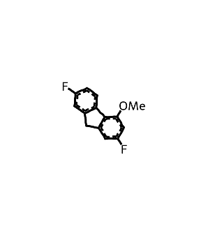 COc1cc(F)cc2c1-c1ccc(F)cc1C2